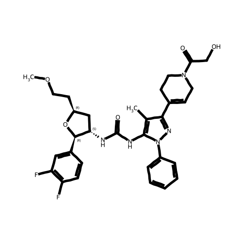 COCC[C@H]1C[C@H](NC(=O)Nc2c(C)c(C3=CCN(C(=O)CO)CC3)nn2-c2ccccc2)[C@@H](c2ccc(F)c(F)c2)O1